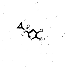 CC(C)(C)c1ncc(S(=O)(=O)C2CC2)cc1Cl